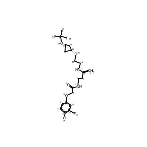 C=C(CCNC(=O)COc1ccc(Cl)c(F)c1)NCCO[C@H]1C[C@@H](OC(F)(F)F)C1